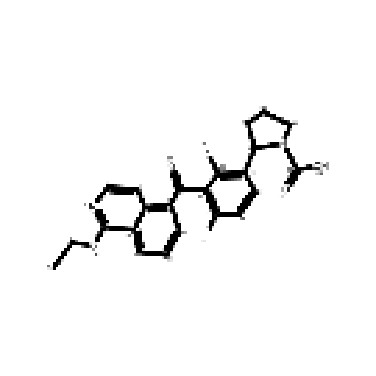 CCOc1nccc2c(C(=O)c3c(F)ccc(C4CCCN4C(=O)O)c3F)cccc12